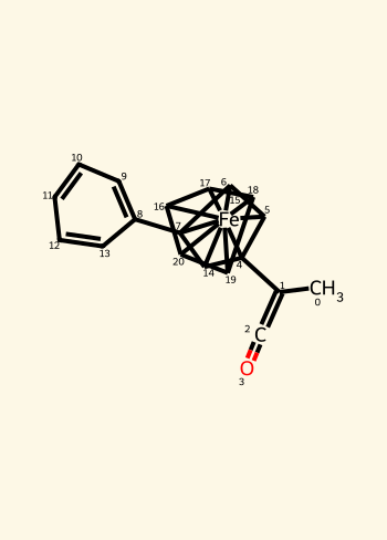 CC(=C=O)[C]12[CH]3[CH]4[C]5(c6ccccc6)[CH]1[Fe]34251678[CH]2[CH]1[CH]6[CH]7[CH]28